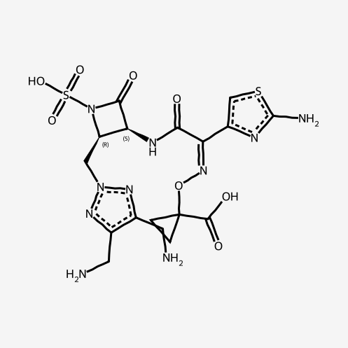 NCc1nn(C[C@@H]2[C@H](NC(=O)C(=NOC3(C(=O)O)CC3)c3csc(N)n3)C(=O)N2S(=O)(=O)O)nc1CN